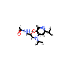 CC(=O)NCC1CN(C(C)C)c2cc(C(C)C)ncc2O1